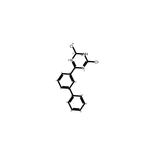 ClC1=NC(c2cccc(-c3ccccc3)c2)=NC(Cl)N1